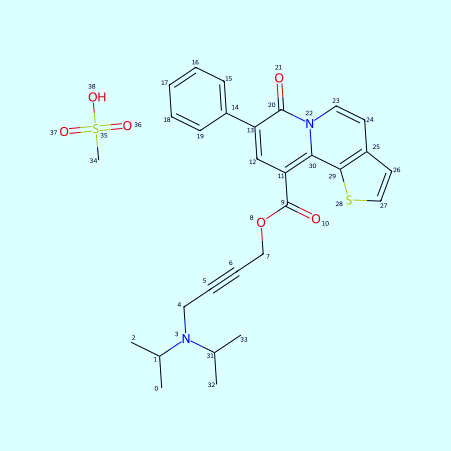 CC(C)N(CC#CCOC(=O)c1cc(-c2ccccc2)c(=O)n2ccc3ccsc3c12)C(C)C.CS(=O)(=O)O